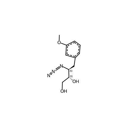 COc1cccc(C[C@H](N=[N+]=[N-])[C@H](O)CO)c1